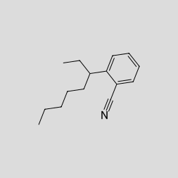 CCCCCC(CC)c1ccccc1C#N